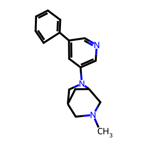 CN1CC2CC(C1)N(c1cncc(-c3ccccc3)c1)C2